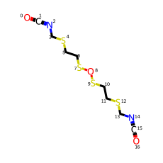 O=C=NCSCCSOSCCSCN=C=O